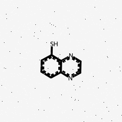 Sc1cccc2nccnc12